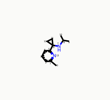 Cc1cccc(C2(NC(C)C)CC2)n1